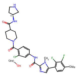 COc1ccc(-c2cnc(C(=O)Nc3ccc(C(=O)N4CCC(C(=O)N[C@H]5CCNC5)CC4)c(Cl)c3)n2C)c(F)c1F.O=CO